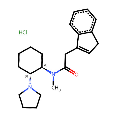 CN(C(=O)CC1=CCc2ccccc21)[C@@H]1CCCC[C@H]1N1CCCC1.Cl